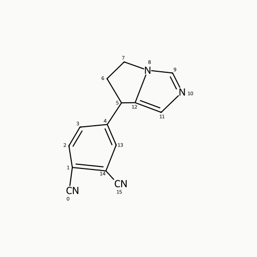 N#Cc1ccc(C2CCn3cncc32)cc1C#N